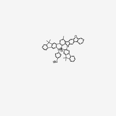 Cc1cc(-c2cc3c(cc2Nc2ccc(C(C)(C)C)cc2)-c2ccccc2C3(C)C)c2c3c1c1cc4oc5ccccc5c4cc1n3-c1cc3c(cc1B2)C(C)(C)c1ccccc1-3